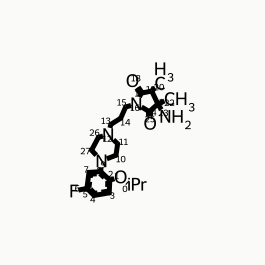 CC(C)Oc1ccc(F)cc1N1CCN(CCCN2C(=O)C(C)C(C)(N)C2=O)CC1